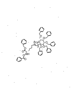 CC(=O)N(CCCC[C@H](NOC(=O)c1ccccc1)C(=O)OCc1ccccc1)CC(F)(F)[C@]1(OCc2ccccc2)O[C@H](COCc2ccccc2)[C@H](OCc2ccccc2)[C@H](OCc2ccccc2)[C@H]1OCc1ccccc1